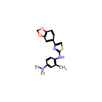 CCN(CC)c1ccc(Nc2nc(-c3ccc4c(c3)OCO4)cs2)c(C)c1